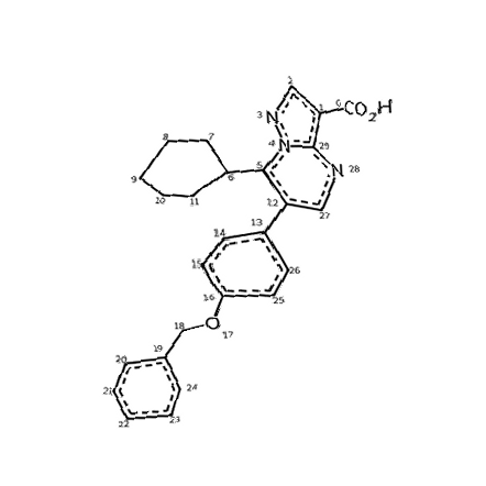 O=C(O)c1cnn2c(C3CCCCC3)c(-c3ccc(OCc4ccccc4)cc3)cnc12